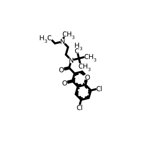 CCN(C)CCN(C(=O)c1coc2c(Cl)cc(Cl)cc2c1=O)C(C)(C)C